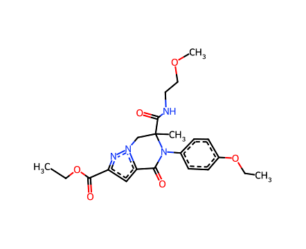 CCOC(=O)c1cc2n(n1)CC(C)(C(=O)NCCOC)N(c1ccc(OCC)cc1)C2=O